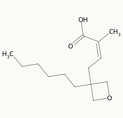 CCCCCCC1(CC=C(C)C(=O)O)COC1